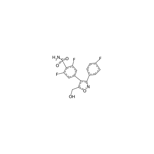 NS(=O)(=O)c1c(F)cc(-c2c(-c3ccc(F)cc3)noc2CO)cc1F